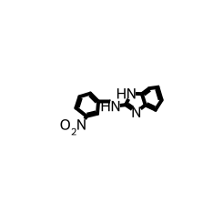 O=[N+]([O-])c1cccc(CNc2nc3ccccc3[nH]2)c1